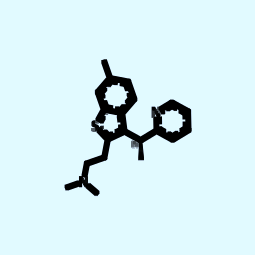 Cc1ccc2c([C@H](C)c3ccccn3)c(CCN(C)C)sc2c1